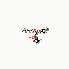 CC1CC2C=CC1C2.CCCCCCCCC(CCC(=O)O)OCc1ccc(Br)cc1